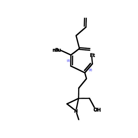 C=CCC(=C)/C(=C\C(=C/CC)CCC1(CO)CN1C)CCCC